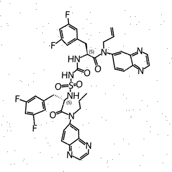 C=CCN(C(=O)[C@H](Cc1cc(F)cc(F)c1)NC(=O)NS(=O)(=O)N[C@@H](Cc1cc(F)cc(F)c1)C(=O)N(CCC)c1ccc2nccnc2c1)c1ccc2nccnc2c1